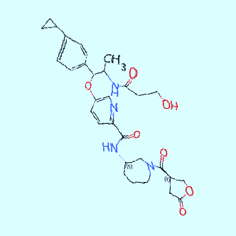 CC(NC(=O)CCO)C(Oc1ccc(C(=O)N[C@H]2CCCN(C(=O)[C@H]3COC(=O)C3)C2)nc1)c1ccc(C2CC2)cc1